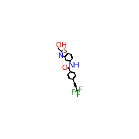 O=C(Nc1ccc2sc(CO)nc2c1)c1ccc(C#CC(F)(F)F)cc1